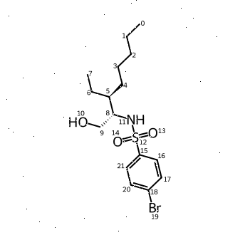 CCCCC[C@H](CC)[C@@H](CO)NS(=O)(=O)c1ccc(Br)cc1